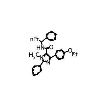 CCCC(NC(=O)c1c(-c2ccc(OCC)cc2)nc(-c2ccccc2)n1C)c1ccccc1